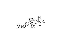 CCn1c(-c2ccc(NC(=O)C3CCC3)cc2)c(C#N)c2ccc(OC)cc21